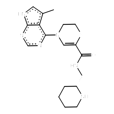 Cc1c[nH]c2ncnc(N3C=C(C(=O)NC[C@H]4CCCCN4)SCC3)c12